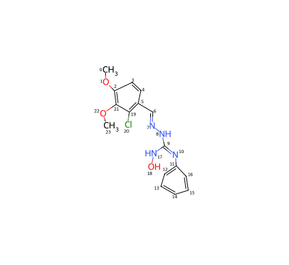 COc1ccc(C=NNC(=Nc2ccccc2)NO)c(Cl)c1OC